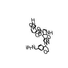 CC(C)N(C)Cc1ccc2c(c1)OCCC2n1cc(CC2C(=O)NC=CN2S(=O)(=O)C2=C(Cl)C=CN3ONC=C23)nn1